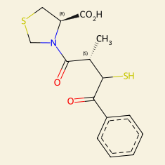 C[C@@H](C(=O)N1CSC[C@H]1C(=O)O)C(S)C(=O)c1ccccc1